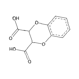 O=C(O)C1Oc2ccccc2OC1C(=O)O